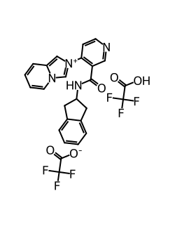 O=C(NC1Cc2ccccc2C1)c1cnccc1-[n+]1cc2ccccn2c1.O=C(O)C(F)(F)F.O=C([O-])C(F)(F)F